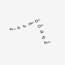 [O-2].[O-2].[O-2].[Pr+3].[Pr+3].[Si].[Si].[Zr].[Zr]